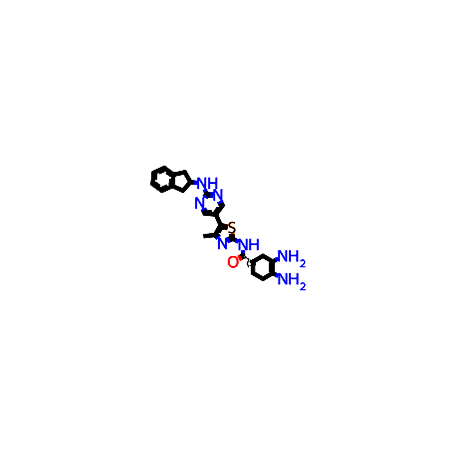 Cc1nc(NC(=O)[C@H]2CCC(N)=C(N)C2)sc1-c1cnc(NC2Cc3ccccc3C2)nc1